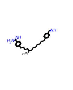 CCCC(CCCCCCCc1ccc(C=N)cc1)CCCCc1ccc(C(=N)N)cc1